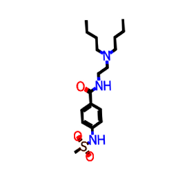 CCCCN(CCCC)CCNC(=O)c1ccc(NS(C)(=O)=O)cc1